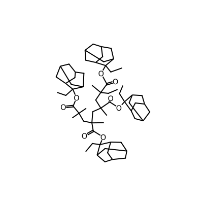 CCC(C)(CC(C)(CC(C)(CC(C)(C)C(=O)OC1(CC)C2CC3CC(C2)CC1C3)C(=O)OC1(CC)C2CC3CC(C2)CC1C3)C(=O)OC1(CC)C2CC3CC(C2)CC1C3)C(=O)OC1(CC)C2CC3CC(C2)CC1C3